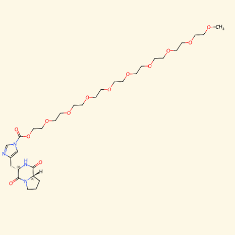 COCCOCCOCCOCCOCCOCCOCCOCCOCCOC(=O)n1cnc(C[C@@H]2NC(=O)[C@@H]3CCCN3C2=O)c1